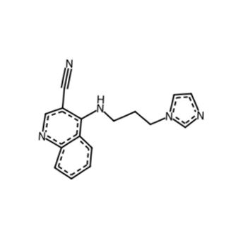 N#Cc1cnc2ccccc2c1NCCCn1ccnc1